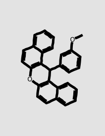 COc1cccc(C2c3c(ccc4ccccc34)Oc3ccc4ccccc4c32)c1